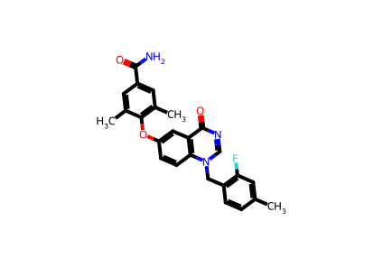 Cc1ccc(Cn2cnc(=O)c3cc(Oc4c(C)cc(C(N)=O)cc4C)ccc32)c(F)c1